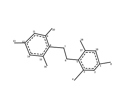 Cc1cc(C)c(CCc2c(C)cc(C)cc2C)c(C)c1